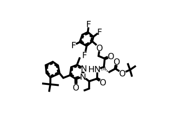 CCC(C(=O)N[C@@H](CC(=O)OC(C)(C)C)C(=O)COc1c(F)c(F)cc(F)c1F)n1nc(C)cc(Cc2ccccc2C(C)(C)C)c1=O